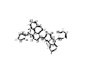 c1ccc(-n2c3ccccc3c3cc(-c4ccc5c6c4ccc4cccc(c46)n5-c4ccccc4)ccc32)cc1